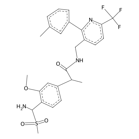 COc1cc(C(C)C(=O)NCc2ccc(C(F)(F)F)nc2-c2cccc(C)c2)ccc1C(N)S(C)(=O)=O